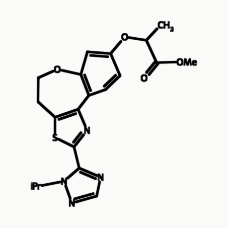 COC(=O)C(C)Oc1ccc2c(c1)OCCc1sc(-c3ncnn3C(C)C)nc1-2